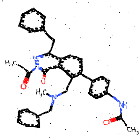 CC(=O)Nc1ccc(-c2ccc3c(Cc4ccccc4)nn(C(C)=O)c(=O)c3c2CN(C)Cc2ccccc2)cc1